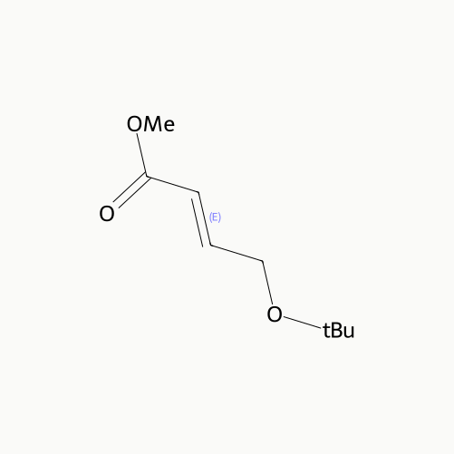 COC(=O)/C=C/COC(C)(C)C